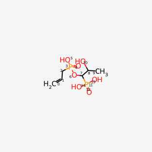 C=CCP(=O)(O)OC(C(C)O)P(=O)(O)O